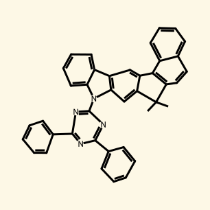 CC1(C)c2cc3c(cc2-c2c1ccc1ccccc21)c1ccccc1n3-c1nc(-c2ccccc2)nc(-c2ccccc2)n1